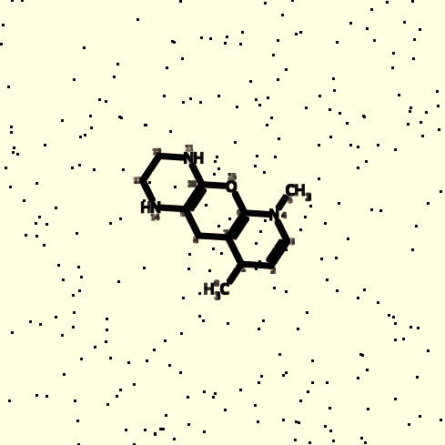 CC1C=CN(C)C2=C1CC1=C(NCCN1)O2